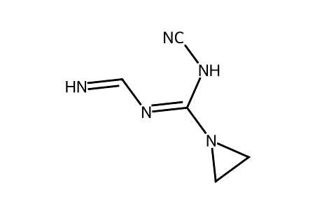 N#CNC(=NC=N)N1CC1